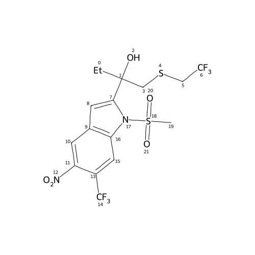 CCC(O)(CSCC(F)(F)F)c1cc2cc([N+](=O)[O-])c(C(F)(F)F)cc2n1S(C)(=O)=O